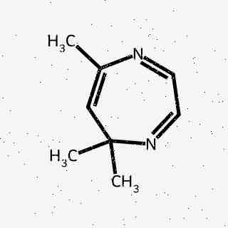 CC1=CC(C)(C)N=CC=N1